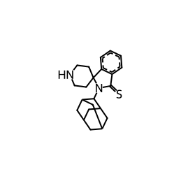 S=C1c2ccccc2C2(CCNCC2)N1C1C2CC3CC(C2)CC1C3